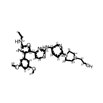 CCNc1nc(-c2cc(OC)cc(OC)c2)c(-c2ccnc(Nc3ccc(N4CCN(CCO)CC4)nc3)n2)o1